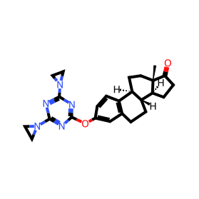 C[C@]12CC[C@@H]3c4ccc(Oc5nc(N6CC6)nc(N6CC6)n5)cc4CC[C@H]3[C@@H]1CCC2=O